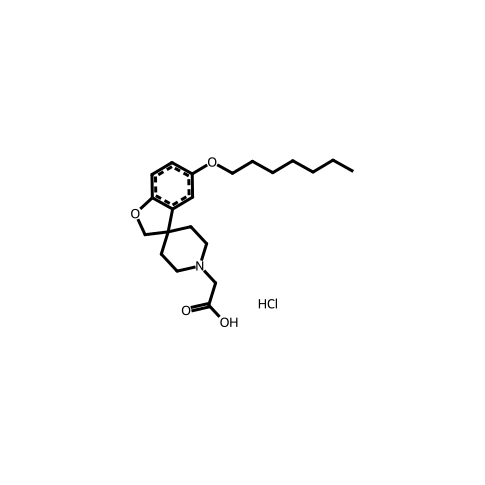 CCCCCCCOc1ccc2c(c1)C1(CCN(CC(=O)O)CC1)CO2.Cl